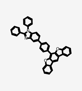 c1ccc(-c2nc3cc(-c4ccc(-c5c6oc7ccccc7c6cc6c5oc5ccccc56)cc4)ccc3n2-c2ccccc2)cc1